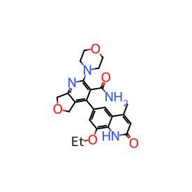 CCOc1cc(-c2c3c(nc(N4CCOCC4)c2C(N)=O)COC3)cc2c(C)cc(=O)[nH]c12